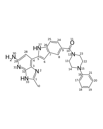 Cc1nc2c(-c3cc4cc(C(=O)N5CCN(c6ccccc6)CC5)ccc4[nH]3)cc(N)nc2[nH]1